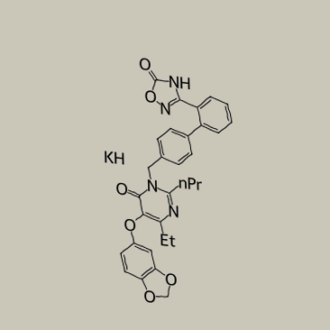 CCCc1nc(CC)c(Oc2ccc3c(c2)OCO3)c(=O)n1Cc1ccc(-c2ccccc2-c2noc(=O)[nH]2)cc1.[KH]